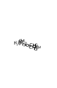 CC1(C)OC[C@H](COc2ccc(C(C)(C)c3cc(Cl)c(O)c(Cl)c3)cc2)O1